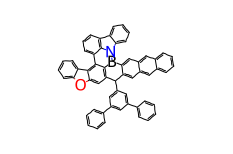 c1ccc(-c2cc(-c3ccccc3)cc(C3c4cc5cc6ccccc6cc5cc4B4c5c3cc3oc6ccccc6c3c5-c3cccc5c6ccccc6n4c35)c2)cc1